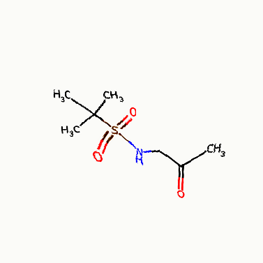 CC(=O)CNS(=O)(=O)C(C)(C)C